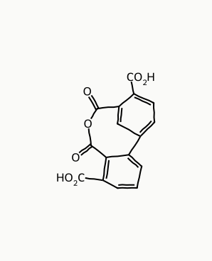 O=C(O)c1ccc2cc1C(=O)OC(=O)c1c(C(=O)O)cccc1-2